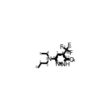 CCCN(CC)c1cc(C(F)(F)F)c(=O)[nH]n1